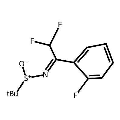 CC(C)(C)[S+]([O-])N=C(c1ccccc1F)C(F)F